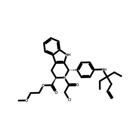 C=CCC(CC)(CC)Nc1ccc([C@H]2c3[nH]c4ccccc4c3C[C@H](C(=O)OCCOC)N2C(=O)CCl)cc1